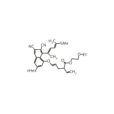 C=CC(C/C=C/Oc1cc(CCCCCC)cc2cc(C#N)c(C#N)c(/C(C)=C/C=C(\C)SC)c12)C(=O)OCCOCC